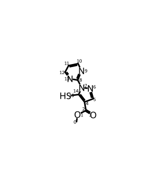 COC(=O)c1cnn(-c2ncccn2)c1S